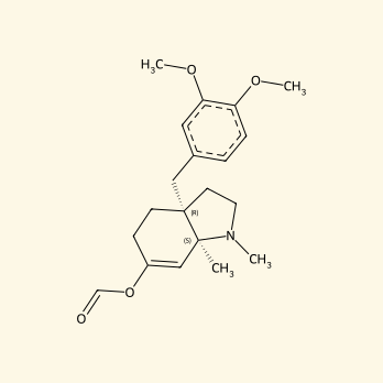 COc1ccc(C[C@@]23CCC(OC=O)=C[C@]2(C)N(C)CC3)cc1OC